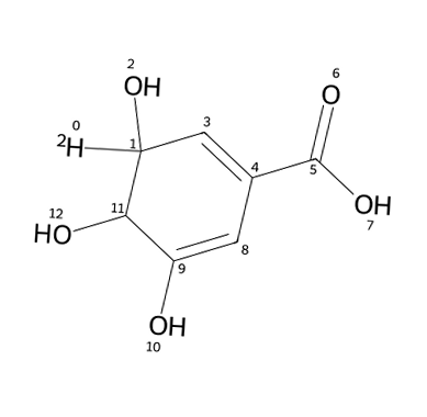 [2H]C1(O)C=C(C(=O)O)C=C(O)C1O